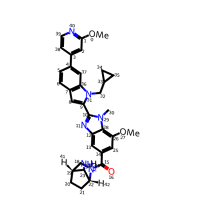 COc1cc(-c2ccc3cc(-c4nc5cc(C(=O)N6C[C@H]7CC[C@@H]6[C@@H]7N)cc(OC)c5n4C)n(CC4CC4)c3c2)ccn1